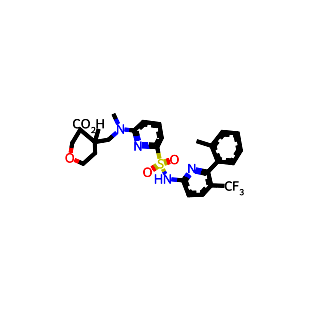 Cc1ccccc1-c1nc(NS(=O)(=O)c2cccc(N(C)CC3(C(=O)O)CCOCC3)n2)ccc1C(F)(F)F